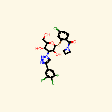 O=C(c1ccc(Cl)cc1S[C@H]1OC(CO)[C@H](O)C(n2cc(-c3cc(F)c(Cl)c(F)c3)nn2)C1O)N1CCC1